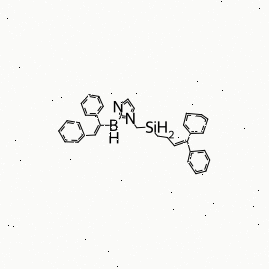 B(C(=Cc1ccccc1)c1ccccc1)c1nccn1C[SiH2]CCC=C(c1ccccc1)c1ccccc1